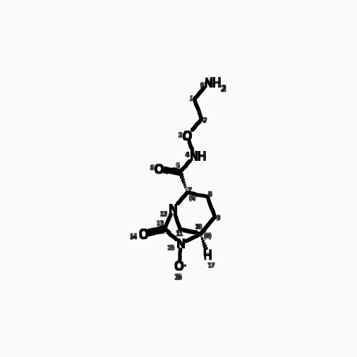 NCCONC(=O)[C@@H]1CC[C@@H]2CN1C(=O)N2[O]